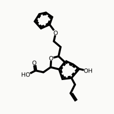 C=CCc1cc2c(cc1O)C(CCOc1ccccc1)OC2CC(=O)O